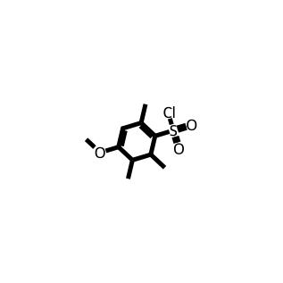 COC1=CC(C)=C(S(=O)(=O)Cl)C(C)C1C